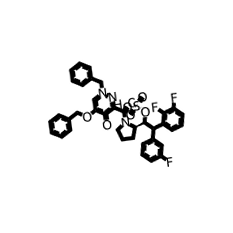 CS(=O)(=O)OC(C(c1cccc(F)c1)c1cccc(F)c1F)[C@H]1CCCN1C(=O)c1nn(Cc2ccccc2)cc(OCc2ccccc2)c1=O